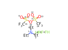 CCN(CC)CC.F.F.F.O=S(=O)(OS(=O)(=O)C(F)(F)F)C(F)(F)F